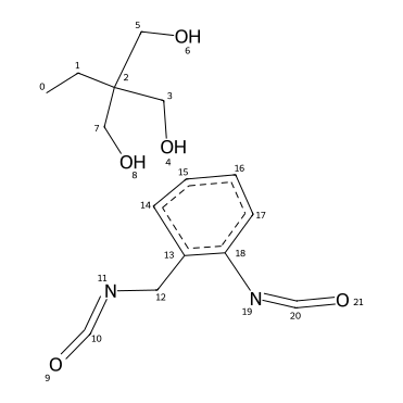 CCC(CO)(CO)CO.O=C=NCc1ccccc1N=C=O